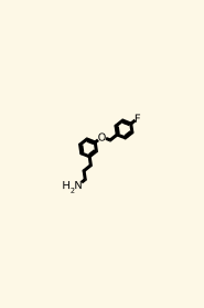 NCCCc1cccc(OCc2ccc(F)cc2)c1